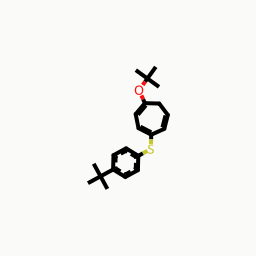 CC(C)(C)OC1=CC=C(Sc2ccc(C(C)(C)C)cc2)C=CC1